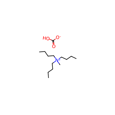 CCCC[N+](C)(CCCC)CCCC.O=C([O-])O